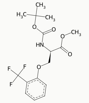 COC(=O)[C@@H](COc1ccccc1C(F)(F)F)NC(=O)OC(C)(C)C